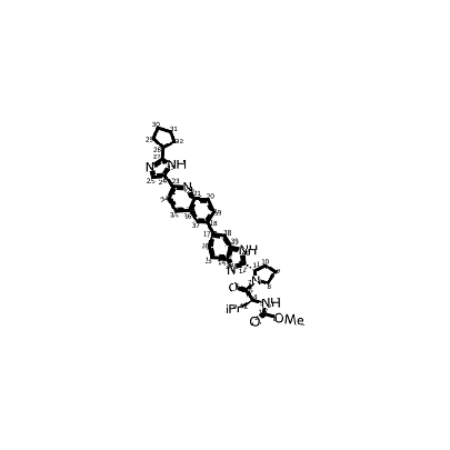 COC(=O)N[C@H](C(=O)N1CCC[C@H]1c1nc2ccc(-c3ccc4nc(-c5cnc(C6CCCC6)[nH]5)ccc4c3)cc2[nH]1)C(C)C